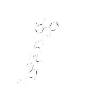 Cc1cc(NC(=O)NCC2=NOC(COc3ccccc3-c3cccnc3F)C2)ccn1